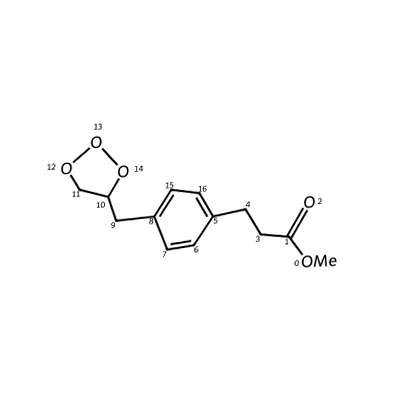 COC(=O)CCc1ccc(CC2COOO2)cc1